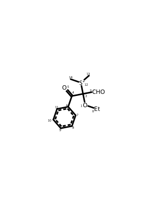 CCOC(C=O)(C(=O)c1ccccc1)[S+](C)C